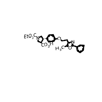 CCOC(=O)N1C[C@H](C(=O)O)[C@@H](c2ccc(OCCc3nc(-c4ccccc4)oc3C)cc2)C1